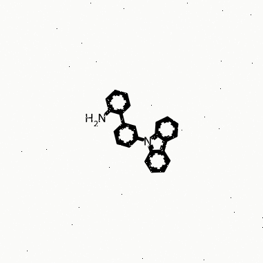 Nc1ccccc1-c1cccc(-n2c3ccccc3c3ccccc32)c1